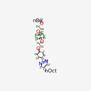 CCCCCCCCc1cnc(-c2ccc(OCCOC(F)(F)C(F)(F)OCCOCCCC)cc2)nc1